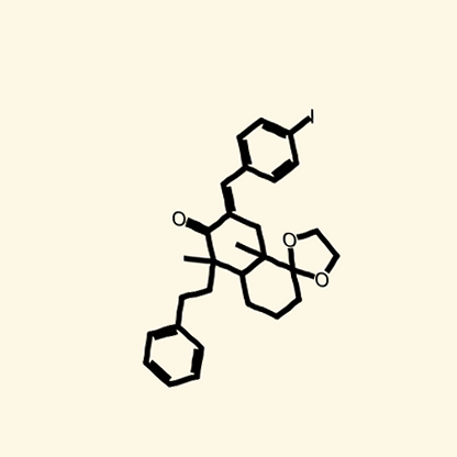 CC1(CCc2ccccc2)C(=O)C(=Cc2ccc(I)cc2)CC2(C)C1CCCC21OCCO1